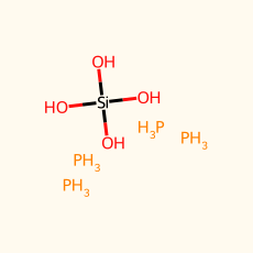 O[Si](O)(O)O.P.P.P.P